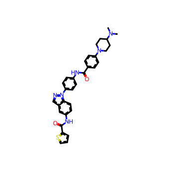 CN(C)C1CCN(c2ccc(C(=O)Nc3ccc(-n4ncc5cc(NC(=O)c6cccs6)ccc54)cc3)cc2)CC1